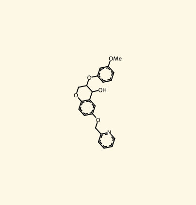 COc1cccc(OC2COc3ccc(OCc4ccccn4)cc3C2O)c1